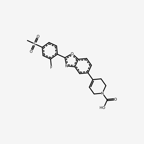 CS(=O)(=O)c1ccc(-c2nc3cc(C4=CCN(C(=O)O)CC4)ccc3o2)c(F)c1